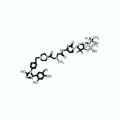 CC(C)c1cc(-c2nnc(O)n2-c2ccc(CN3CCN(C(=O)CN(C)CC(=O)Nc4ccn([C@@H]5O[C@H](CO[Si](C)(C)C(C)(C)C)[C@@H](O[Si](C)(C)C(C)(C)C)C5(F)F)c(=O)n4)CC3)cc2)c(O)cc1O